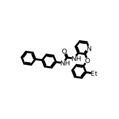 CCc1ccccc1Oc1ncccc1NC(=O)Nc1ccc(-c2ccccc2)cc1